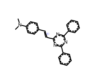 CN(C)c1ccc(/C=C/c2nc(-c3ccccc3)nc(-c3ccccc3)n2)cc1